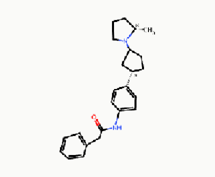 C[C@H]1CCCN1C1CC[C@H](c2ccc(NC(=O)Cc3ccccc3)cc2)C1